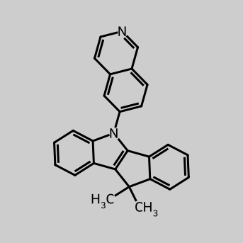 CC1(C)c2ccccc2-c2c1c1ccccc1n2-c1ccc2cnccc2c1